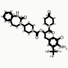 Nc1c(Cl)cc(CC(OC(=O)N2CCC(N3CCc4ccccc4NC3=O)CC2)C(=O)N2CCC(=O)CC2)cc1C(F)(F)F